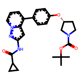 CC(C)(C)OC(=O)N1CC[C@@H](Oc2ccc(-c3cccn4nc(NC(=O)C5CC5)cc34)cc2)C1